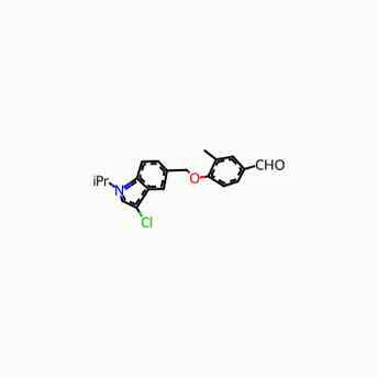 Cc1cc(C=O)ccc1OCc1ccc2c(c1)c(Cl)cn2C(C)C